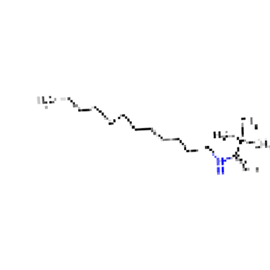 C=C(NCCCCCCCCCCCC)C(C)(C)C